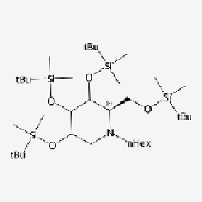 CCCCCCN1CC(O[Si](C)(C)C(C)(C)C)C(O[Si](C)(C)C(C)(C)C)C(O[Si](C)(C)C(C)(C)C)[C@H]1CO[Si](C)(C)C(C)(C)C